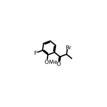 COc1c(F)cccc1C(=O)C(C)Br